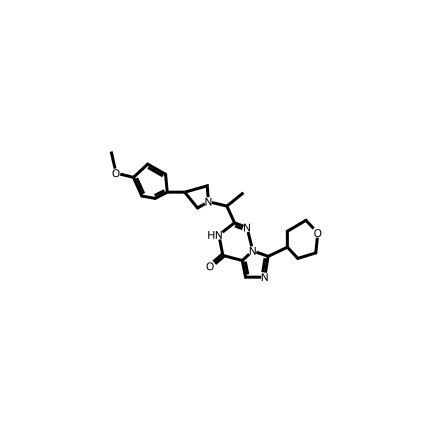 COc1ccc(C2CN(C(C)c3nn4c(C5CCOCC5)ncc4c(=O)[nH]3)C2)cc1